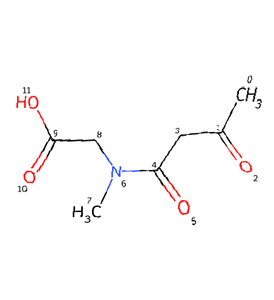 CC(=O)CC(=O)N(C)CC(=O)O